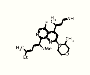 CC/C(C)=C/C=C(\NC)c1ncc(F)c2c(/C(C)=C/C=N)cc(N3CCOCC3C)nc12